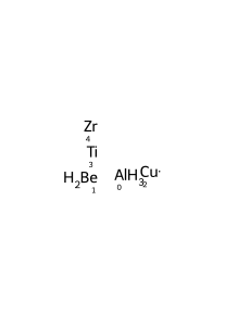 [AlH3].[BeH2].[Cu].[Ti].[Zr]